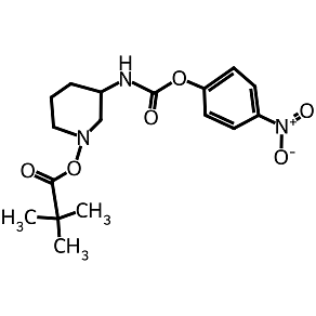 CC(C)(C)C(=O)ON1CCCC(NC(=O)Oc2ccc([N+](=O)[O-])cc2)C1